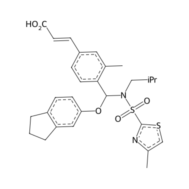 Cc1csc(S(=O)(=O)N(CC(C)C)C(Oc2ccc3c(c2)CCC3)c2ccc(C=CC(=O)O)cc2C)n1